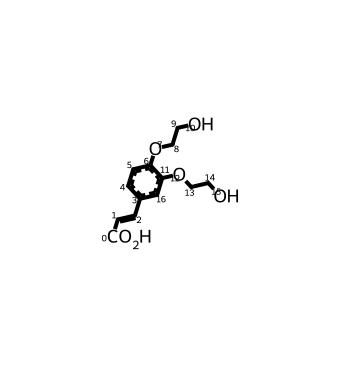 O=C(O)/C=C/c1ccc(OCCO)c(OCCO)c1